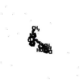 C=CCc1ccc2c(n1)COc1ccccc1/C2=C\CCN1CCC(O)(c2ccc(Cl)cc2)C(C)(C)C1